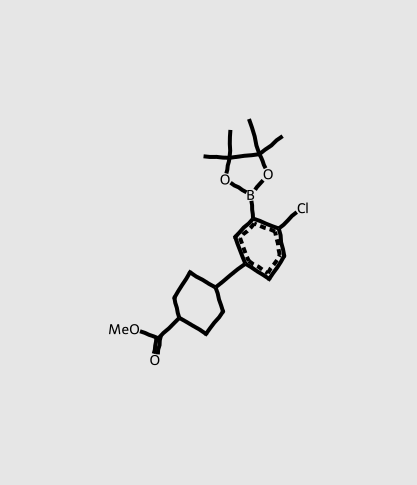 COC(=O)C1CCC(c2ccc(Cl)c(B3OC(C)(C)C(C)(C)O3)c2)CC1